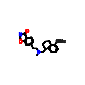 COc1cccc2c1CCCC2CN(C)CCc1ccc2c(=O)ncoc2c1